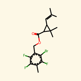 CC(C)=CC1C(C(=O)OCc2c(F)c(F)c(C)c(F)c2Br)C1(C)C